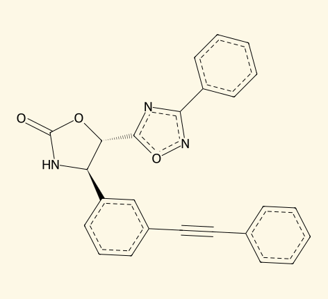 O=C1N[C@H](c2cccc(C#Cc3ccccc3)c2)[C@@H](c2nc(-c3ccccc3)no2)O1